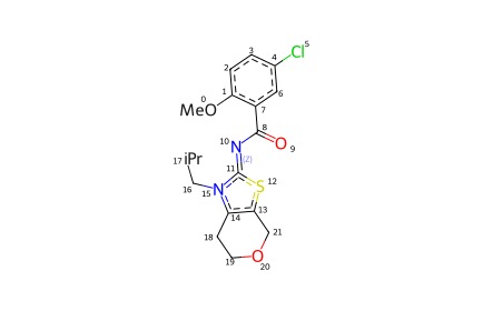 COc1ccc(Cl)cc1C(=O)/N=c1\sc2c(n1CC(C)C)CCOC2